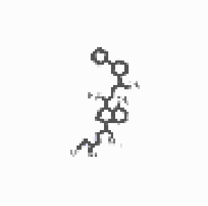 C=CC(CCC(C)C1C=CC(C(/C=C/C(/C=C\C)CCCC)CN)C2CCCC(C)C12)C1CCCC(C2C=CC=CC2)C1